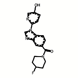 O=C(c1ccc2c(c1)ncn2-c1ccc(O)cn1)N1CCC(F)CC1